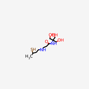 CC(S)CCNCCC(=O)NC(CO)(CO)CO